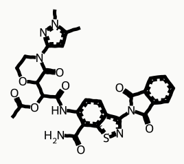 CC(=O)OC(C(=O)Nc1ccc2c(N3C(=O)c4ccccc4C3=O)nsc2c1C(N)=O)C1OCCN(c2cc(C)n(C)n2)C1=O